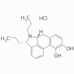 CCC[C@H]1c2cccc3c2[C@@H](Cc2ccc(O)c(O)c2-3)N1CCC.Cl